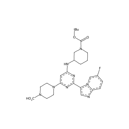 CC(C)(C)OC(=O)N1CCCC(Nc2cc(N3CCN(C(=O)O)CC3)nc(-c3cnc4ccc(F)cn34)n2)C1